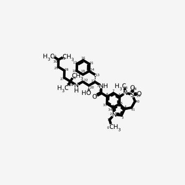 CCn1cc2c3c(cc(C(=O)N[C@@H](CC4=CC=CCC4)[C@H](O)CNC(C)(C)CCCC(C)C)cc31)N(C)S(=O)(=O)CC2